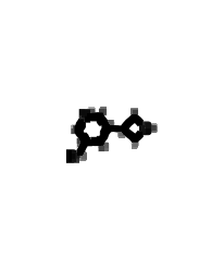 Brc1cncc(C2COC2)c1